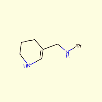 CC(C)NCC1=CNCCC1